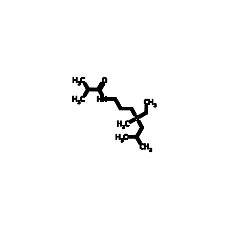 CCS(C)(CCCNC(=O)C(C)C)CC(C)C